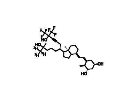 [2H]C([2H])([2H])C(C)(O)CCC[C@@H](CC#CC(O)(C(F)(F)F)C(F)(F)F)C1CCC2/C(=C/C=C3/C[C@@H](O)C[C@H](O)C3=C)CCC[C@@]21C